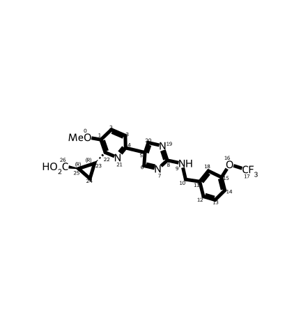 COc1ccc(-c2cnc(NCc3cccc(OC(F)(F)F)c3)nc2)nc1[C@@H]1C[C@H]1C(=O)O